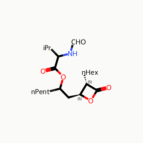 CCCCCC[C@@H]1C(=O)O[C@H]1CC(CCCCC)OC(=O)C(NC=O)C(C)C